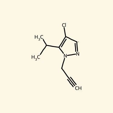 C#CCn1n[c]c(Cl)c1C(C)C